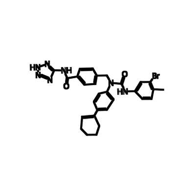 Cc1ccc(NC(=O)N(Cc2ccc(C(=O)Nc3nn[nH]n3)cc2)c2ccc(C3=CCCCC3)cc2)cc1Br